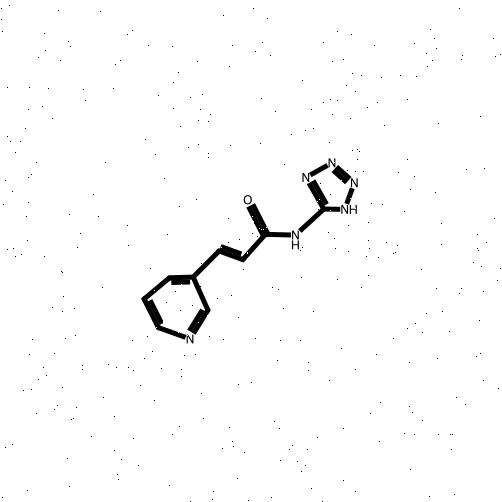 O=C(C=Cc1cccnc1)Nc1nnn[nH]1